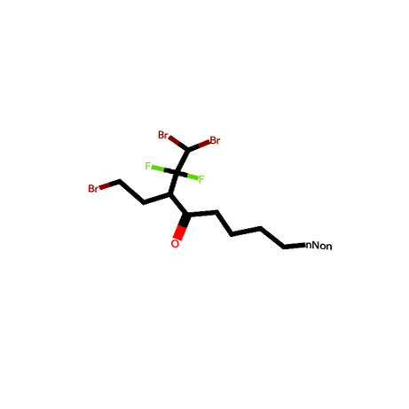 CCCCCCCCCCCCCC(=O)C(CCBr)C(F)(F)C(Br)Br